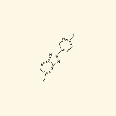 Fc1ccc(-c2nc3ccc(Cl)cn3n2)cn1